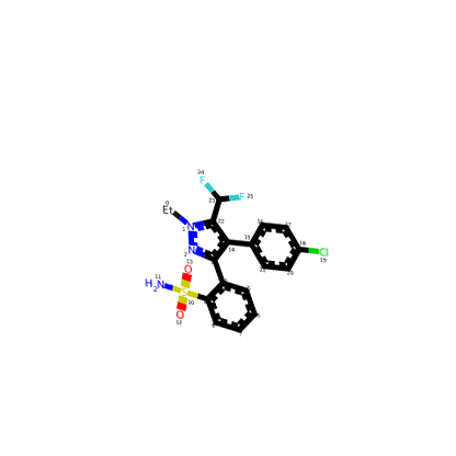 CCn1nc(-c2ccccc2S(N)(=O)=O)c(-c2ccc(Cl)cc2)c1C(F)F